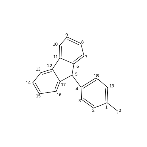 [CH2]c1ccc(C2c3ccccc3-c3ccccc32)cc1